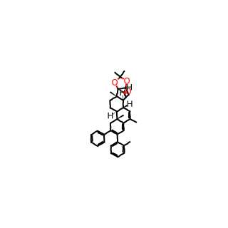 CC(=O)[C@@]12OC(C)(C)O[C@H]1C[C@H]1[C@@H]3C=C(C)C4=CC(c5ccccc5C)=C(c5ccccc5)C[C@]4(C)[C@H]3CC[C@@]12C